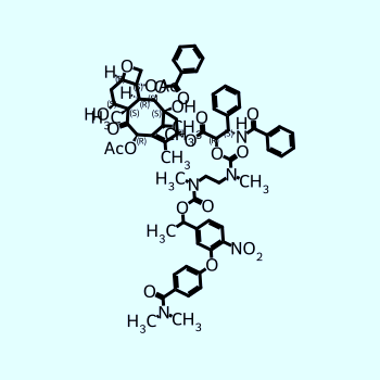 CC(=O)O[C@H]1C(=O)[C@@]2(C)[C@H]([C@H](OC(=O)c3ccccc3)[C@]3(O)C[C@H](OC(=O)[C@H](OC(=O)N(C)CCN(C)C(=O)OC(C)c4ccc([N+](=O)[O-])c(Oc5ccc(C(=O)N(C)C)cc5)c4)[C@@H](NC(=O)c4ccccc4)c4ccccc4)C(C)=C1C3(C)C)[C@]1(OC(C)=O)CO[C@@H]1C[C@@H]2O